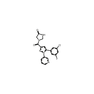 O=C1CN(C(=O)c2cc(-c3cc(F)cc(Cl)c3)n(-c3cccnc3)n2)CN1